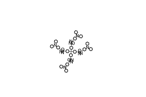 c1ccc(N(c2ccccc2)c2ccc(-c3nnc(-c4ccc(C(c5ccc(-c6nnc(-c7ccc(N(c8ccccc8)c8ccccc8)cc7)o6)cc5)(c5ccc(-c6nnc(-c7ccc(N(c8ccccc8)c8ccccc8)cc7)o6)cc5)c5ccc(-c6nnc(-c7ccc(N(c8ccccc8)c8ccccc8)cc7)o6)cc5)cc4)o3)cc2)cc1